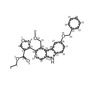 CCOC(=O)c1conc1-c1ncc2[nH]c3ccc(OCc4ccccc4)cc3c2c1COC